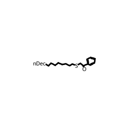 CCCCCCCCCCCCCCCCCCSCC(=O)c1ccccc1